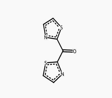 O=C(c1nccs1)c1nccs1